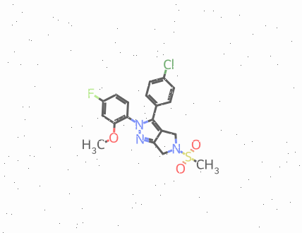 COc1cc(F)ccc1-n1nc2c(c1-c1ccc(Cl)cc1)CN(S(C)(=O)=O)C2